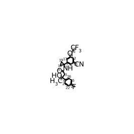 C[C@@](O)(CC(=O)NC1(c2cc(C#N)cc(OCC(F)(F)F)c2)CC1)c1ccc(F)cc1